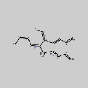 C=CC=c1c(=C/C)/c(=C\C=C/C)[nH]/c1=C/C=C